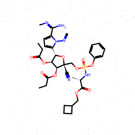 C=Nn1c(/C(N)=N\C)ccc1[C@@H]1O[C@](C#N)(COP(=O)(N[C@@H](C)C(=O)OCC2CCC2)Oc2ccccc2)[C@@H](OC(=O)CC)[C@H]1OC(=O)CC